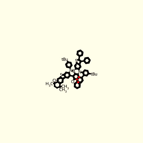 CC(C)(C)c1ccc(N2B3c4cc5sc(-c6ccccc6)c(-c6ccccc6)c5cc4N(c4ccc(C(C)(C)C)cc4-c4ccccc4)c4cc5c(oc6ccccc65)c(c43)-c3cc4c(cc32)sc2cc3c(cc24)C(C)(C)CCC3(C)C)cc1